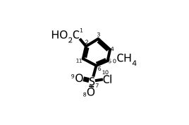 C.O=C(O)c1cccc(S(=O)(=O)Cl)c1